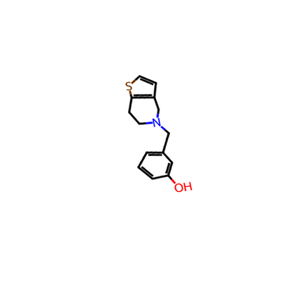 Oc1cccc(CN2CCc3sccc3C2)c1